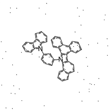 c1cc(-n2c3ccccc3c3ccccc32)cc(-n2c3c4ccccc4ccc3c3c4ccccc4c4ccccc4c32)c1